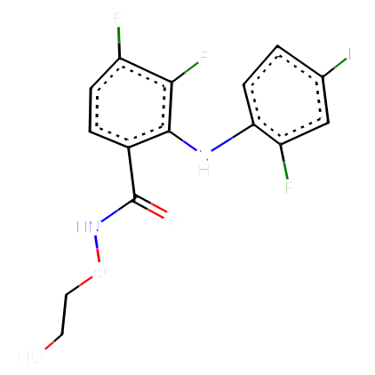 O=C(NOCCO)c1ccc(F)c(F)c1Nc1ccc(F)cc1F